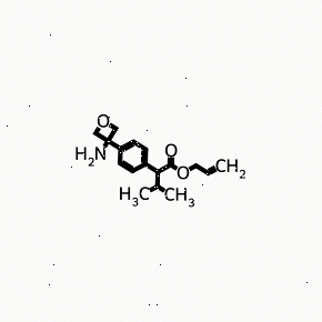 C=CCOC(=O)C(c1ccc(C2(N)COC2)cc1)C(C)C